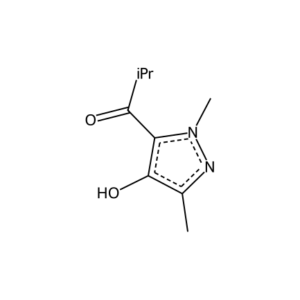 Cc1nn(C)c(C(=O)C(C)C)c1O